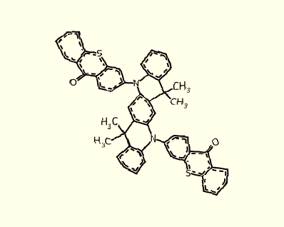 CC1(C)c2ccccc2N(c2ccc3c(=O)c4ccccc4sc3c2)c2cc3c(cc21)N(c1ccc2c(=O)c4ccccc4sc2c1)c1ccccc1C3(C)C